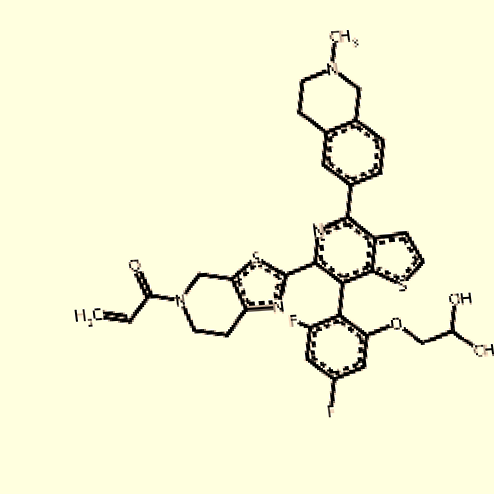 C=CC(=O)N1CCc2nc(-c3nc(-c4ccc5c(c4)CCN(C)C5)c4ccsc4c3-c3c(F)cc(F)cc3OCC(C)O)sc2C1